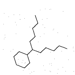 CCCCCC(CCCCC)C1CCCCC1